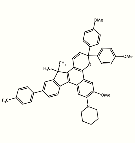 COc1ccc(C2(c3ccc(OC)cc3)C=Cc3c4c(c5cc(N6CCCCC6)c(OC)cc5c3O2)-c2ccc(-c3ccc(C(F)(F)F)cc3)cc2C4(C)C)cc1